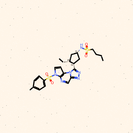 CCCCS(=O)(=O)N[C@H]1C[C@@H](CC)[C@@H](c2nnc3cnc4c(ccn4S(=O)(=O)c4ccc(C)cc4)n23)C1